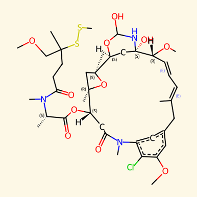 COCC(C)(CCC(=O)N(C)[C@@H](C)C(=O)O[C@H]1CC(=O)N(C)c2cc(cc(OC)c2Cl)C/C(C)=C/C=C/[C@@H](OC)[C@@]2(O)C[C@H](OC(O)N2)[C@]2(C)C[C@@]1(C)O2)SSC